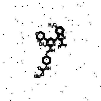 Cc1ccc2nc(C(F)F)n(-c3cc(N4CCOC[C@@H]4C)nc(NC[C@H]4CC[C@H](NC(=O)OC(C)(C)C)CC4)n3)c2c1